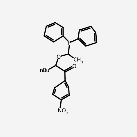 CCCCC(OC(C)P(c1ccccc1)c1ccccc1)C(=O)c1ccc([N+](=O)[O-])cc1